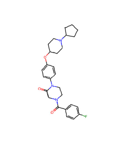 O=C(c1ccc(F)cc1)N1CCN(c2ccc(OC3CCN(C4CCCC4)CC3)cc2)C(=O)C1